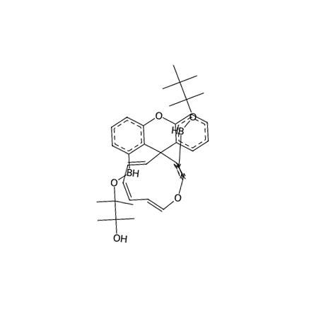 CC(C)(C)C(C)(C)OBc1cccc2c1C1(/C=C/C=C\C=C\O2)c2ccccc2Oc2cccc(BOC(C)(C)C(C)(C)O)c21